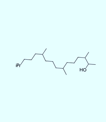 CC(C)CCCC(C)CCCC(C)CCCC(C)C(C)O